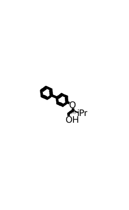 CC(C)[C@@H](CO)Oc1ccc(-c2ccccc2)cc1